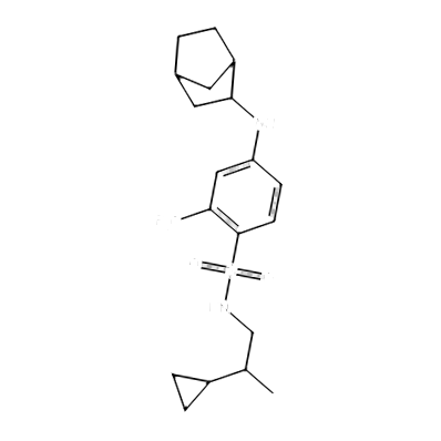 CC(CNS(=O)(=O)c1ccc(NC2CC3CCC2C3)cc1C(F)(F)F)C1CC1